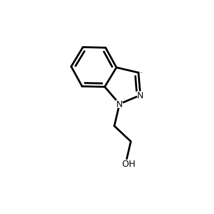 OCCn1n[c]c2ccccc21